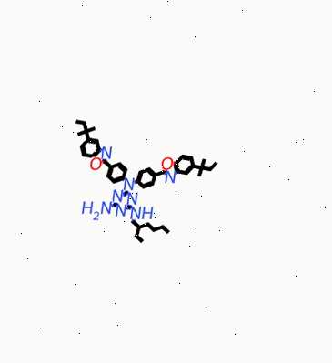 CCCCC(CC)CNc1nc(N)nc(N(c2ccc(-c3nc4cc(C(C)(C)CC)ccc4o3)cc2)c2ccc(-c3nc4cc(C(C)(C)CC)ccc4o3)cc2)n1